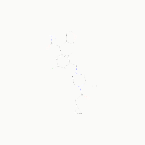 Cc1c(CN2CCN(C(=O)CC3CC3)[C@@H](C)C2)cc(Cl)cc1C(C(N)=O)C1CCOC1